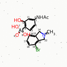 CC(=O)Nc1ccc([As](=O)(O)O)c(O)c1.CN1Cc2cccc(Br)c2C1